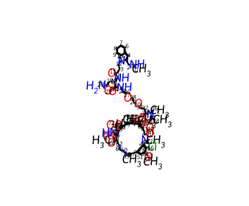 CNCc1cc2ccccc2n1CCC(=O)N[C@@H](CC(N)=O)C(=O)NCCOCCOCCC(=O)N(C)[C@@H](C)C(=O)O[C@H]1CC(=O)N(C)c2cc(cc(OC)c2Cl)C/C(C)=C/C=C/[C@@H](OC)[C@@]2(O)C[C@H](OC(=O)N2)[C@@H](C)[C@@H]2O[C@]12C